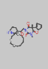 CN1C(=O)N(CC(=O)C2CCCNC23CCCCCCCCCC3)C(=O)C(C)(C2=CCCC2)C1=O